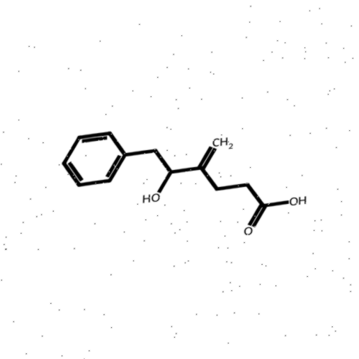 C=C(CCC(=O)O)C(O)Cc1ccccc1